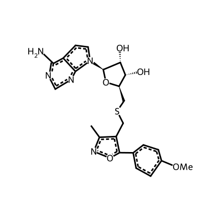 COc1ccc(-c2onc(C)c2CSC[C@H]2O[C@@H](n3ccc4c(N)ncnc43)[C@H](O)[C@@H]2O)cc1